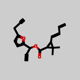 C#CCc1ccc(C(C#C)OC(=O)C2C(C=CC=C)C2(C)C)o1